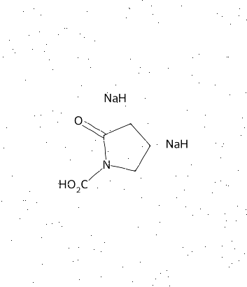 O=C(O)N1CCCC1=O.[NaH].[NaH]